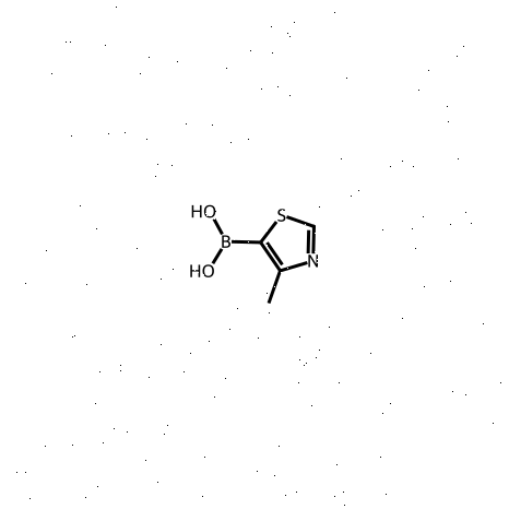 Cc1ncsc1B(O)O